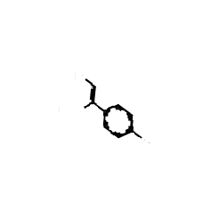 CC/C=C(\C(=O)O)c1ccc([N+](=O)[O-])cc1